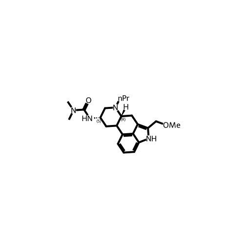 CCCN1C[C@@H](NC(=O)N(C)C)CC2c3cccc4[nH]c(COC)c(c34)C[C@H]21